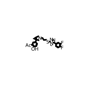 CC(=O)c1cc(C23CC2CN(CCCSc2nnc(-c4ccc(F)c(F)c4)n2C)C3)ccc1O